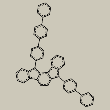 c1ccc(-c2ccc(-c3ccc(-n4c5ccccc5c5ccc6c(c7ccccc7n6-c6ccc(-c7ccccc7)cc6)c54)cc3)cc2)cc1